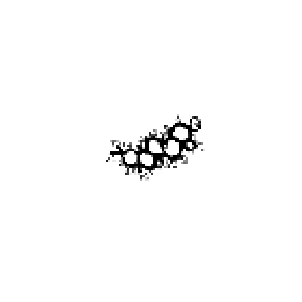 CC1C(=O)CCC2C1(C)CCC1C2(C)CCC2(C)C3CC(C)(C)CCC3(C)CCC12C